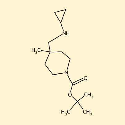 CC1(CNC2CC2)CCN(C(=O)OC(C)(C)C)CC1